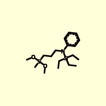 CC[Si](CC)(CC)N(CCC[Si](C)(OC)OC)c1ccccc1